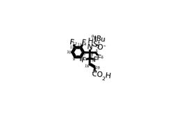 CC(C)(C)[S@@+]([O-])NC(CF)(c1cccc(F)c1F)C(F)(F)C=CC(=O)O